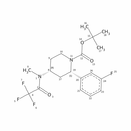 CN(C(=O)C(F)(F)F)[C@@H]1CCN(C(=O)OC(C)(C)C)[C@H](c2cccc(F)c2)C1